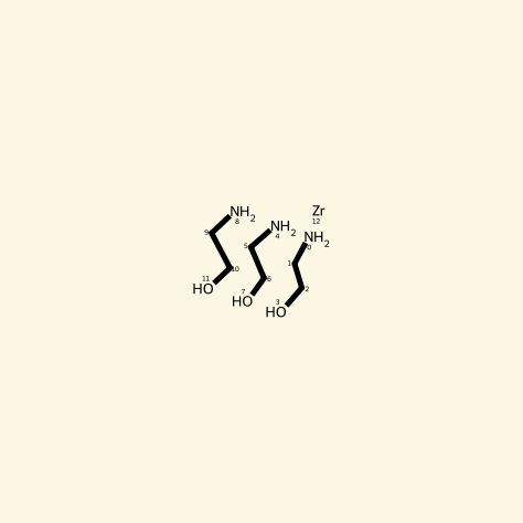 NCCO.NCCO.NCCO.[Zr]